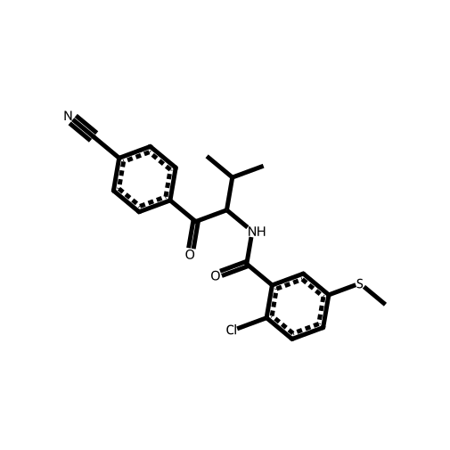 CSc1ccc(Cl)c(C(=O)NC(C(=O)c2ccc(C#N)cc2)C(C)C)c1